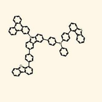 c1ccc(N(c2ccc(-c3ccc4c(c3)c3cc(-c5ccc(-c6cccc7c6oc6ccccc67)cc5)ccc3n4-c3ccc4c5ccccc5c5ccccc5c4c3)cc2)c2ccc(-c3cccc4sc5ccccc5c34)cc2)cc1